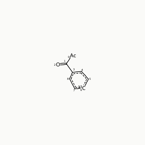 C[13C](=O)C(=O)c1cc[13cH]cc1